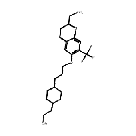 CCCC1CCC(CCCOc2cc3c(cc2C(F)(F)F)OC(CC)CC3)CC1